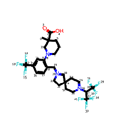 CC1(C(=O)O)CCCN(c2cc(C(F)(F)F)ccc2CN2CCC3(CCN(C(C(F)(F)F)C(F)(F)F)CC3)C2)C1